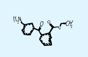 CCOC(=O)c1ccccc1C(=O)c1cccc(N)c1